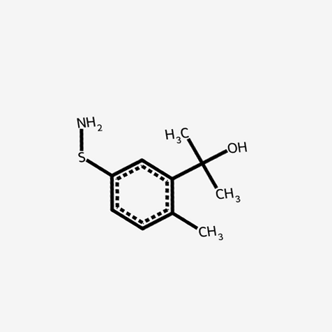 Cc1ccc(SN)cc1C(C)(C)O